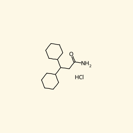 Cl.NC(=O)CC(C1CCCCC1)C1CCCCC1